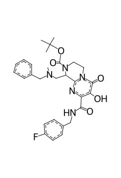 CN(Cc1ccccc1)CC1c2nc(C(=O)NCc3ccc(F)cc3)c(O)c(=O)n2CCN1C(=O)OC(C)(C)C